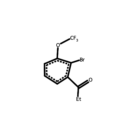 CCC(=O)c1cccc(OC(F)(F)F)c1Br